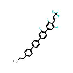 CCCc1ccc(-c2ccc(-c3ccc(-c4cc(F)c(/C=C/C(F)(F)F)c(F)c4)c(F)c3)cc2)cc1